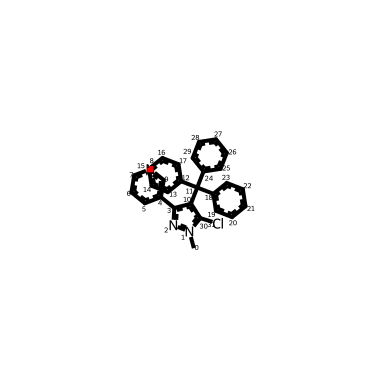 Cn1nc(-c2cccnc2)c(C(c2ccccc2)(c2ccccc2)c2ccccc2)c1Cl